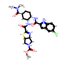 CN(C)C(=O)[C@H]1CC[C@H](NC(=O)c2cc3cc(Cl)ccc3[nH]2)[C@H](NC(=O)C2=NC3CN(C(=O)OC(C)(C)C)CC3S2)C1